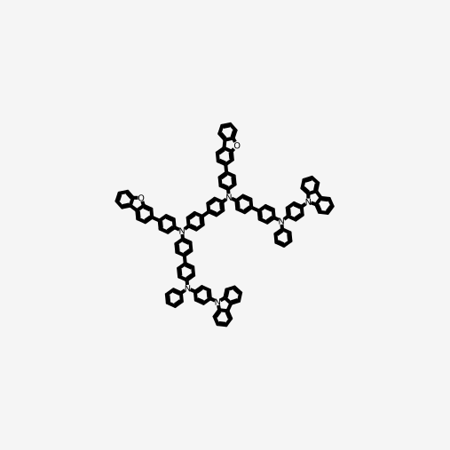 c1ccc(N(c2ccc(-c3ccc(N(c4ccc(-c5ccc(N(c6ccc(-c7ccc(N(c8ccccc8)c8ccc(-n9c%10ccccc%10c%10ccccc%109)cc8)cc7)cc6)c6ccc(-c7ccc8c(c7)oc7ccccc78)cc6)cc5)cc4)c4ccc(-c5ccc6c(c5)oc5ccccc56)cc4)cc3)cc2)c2ccc(-n3c4ccccc4c4ccccc43)cc2)cc1